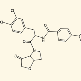 CC(C)c1ccc(C(=O)NC(Cc2ccc(Cl)c(Cl)c2)C(=O)N2CCC3OCC(=O)C32)cc1